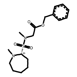 CN1CCCCC[C@H]1S(=O)(=O)N(C)CC(=O)OCc1ccccc1